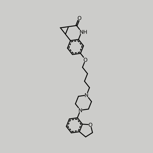 O=C1Nc2cc(OCCCCN3CCN(c4cccc5c4OCC5)CC3)ccc2C2CC12